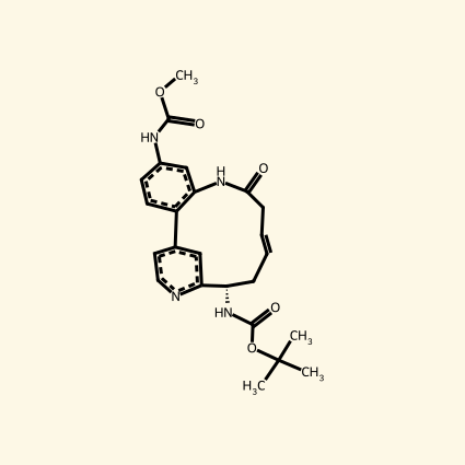 COC(=O)Nc1ccc2c(c1)NC(=O)C/C=C/C[C@H](NC(=O)OC(C)(C)C)c1cc-2ccn1